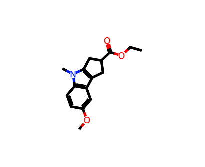 CCOC(=O)C1Cc2c(n(C)c3ccc(OC)cc23)C1